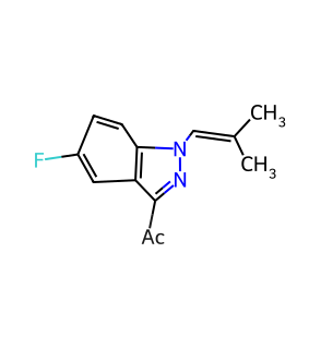 CC(=O)c1nn(C=C(C)C)c2ccc(F)cc12